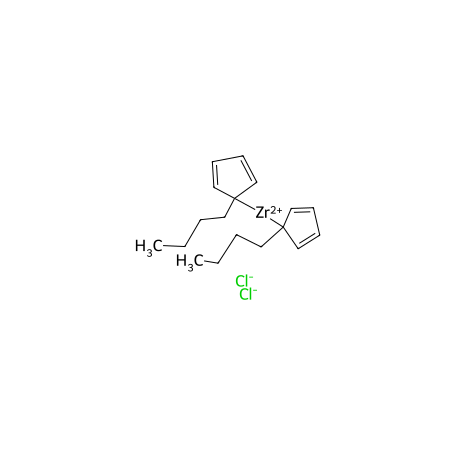 CCCC[C]1([Zr+2][C]2(CCCC)C=CC=C2)C=CC=C1.[Cl-].[Cl-]